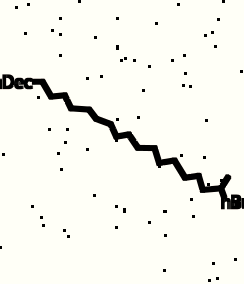 CCCCCCCCCCCCCCCCCCCCCCCCCCC(C)CCCC